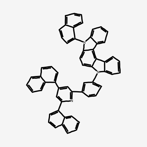 c1cc(-c2cc(-c3cccc4ccccc34)cc(-c3cccc4ccccc34)n2)cc(-n2c3ccccc3c3c4c5ccccc5n(-c5cccc6ccccc56)c4ccc32)c1